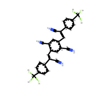 N#C/C(=C\c1cc(C#N)c(/C=C(\C#N)c2ccc(C(F)(F)F)cc2)cc1C#N)c1ccc(C(F)(F)F)cc1